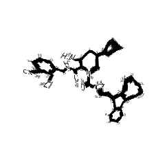 NC1CC(C2CC2)CN(C(=O)OCC2c3ccccc3-c3ccccc32)C1C(=O)NCc1cccc(Cl)c1Cl